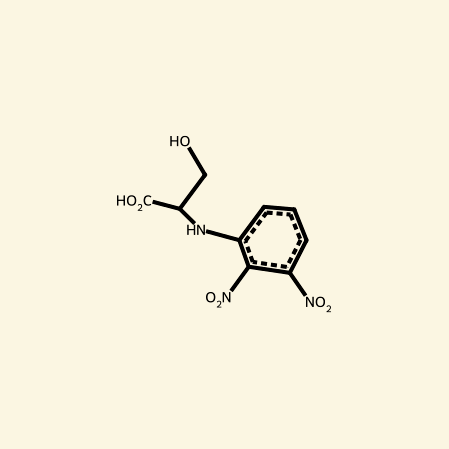 O=C(O)C(CO)Nc1cccc([N+](=O)[O-])c1[N+](=O)[O-]